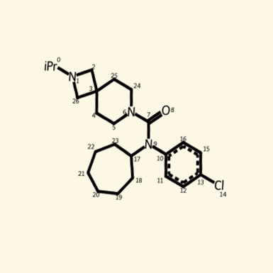 CC(C)N1CC2(CCN(C(=O)N(c3ccc(Cl)cc3)C3CCCCCC3)CC2)C1